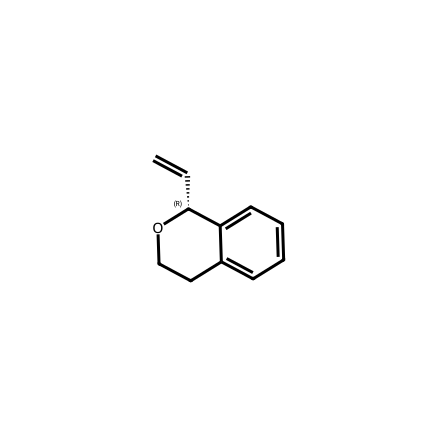 C=C[C@H]1OCCc2ccccc21